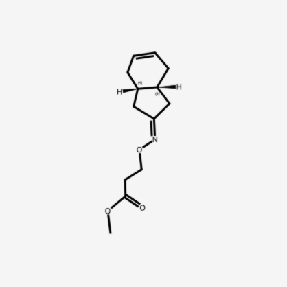 COC(=O)CCON=C1C[C@H]2CC=CC[C@H]2C1